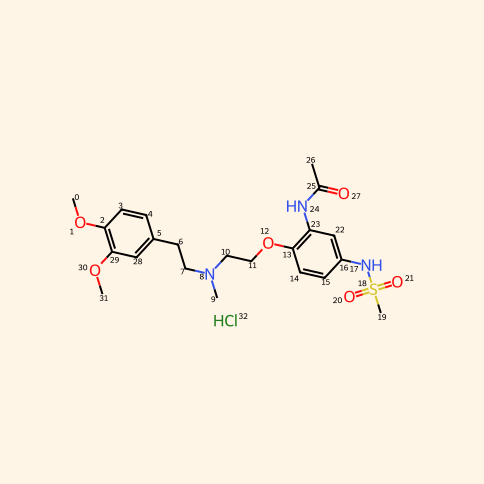 COc1ccc(CCN(C)CCOc2ccc(NS(C)(=O)=O)cc2NC(C)=O)cc1OC.Cl